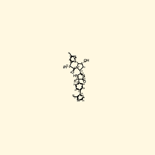 Cc1cc([C@H](C(=O)N2C[C@H](O)C[C@H]2C2=NC(=O)[C@](C)(c3ccc(-c4scnc4C)cc3)N2)C(C)C)sn1